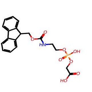 O=C(O)COP(=O)(O)OCCNC(=O)OCC1c2ccccc2-c2ccccc21